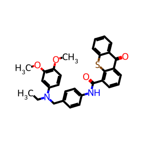 CCN(Cc1ccc(NC(=O)c2cccc3c(=O)c4ccccc4sc23)cc1)c1ccc(OC)c(OC)c1